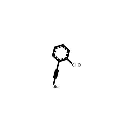 CC(C)(C)C#Cc1ccccc1C=O